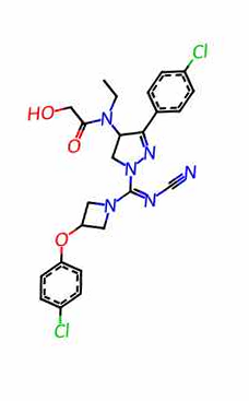 CCN(C(=O)CO)C1CN(C(=NC#N)N2CC(Oc3ccc(Cl)cc3)C2)N=C1c1ccc(Cl)cc1